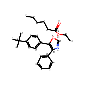 CC(C)(C)c1ccc(-c2ocnc2-c2ccccc2)cc1.CCCCCC(=O)OCC